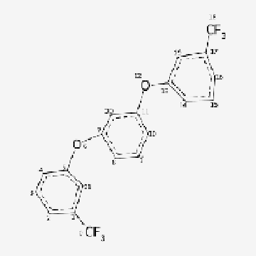 FC(F)(F)c1cccc(Oc2c[c]cc(Oc3cccc(C(F)(F)F)c3)c2)c1